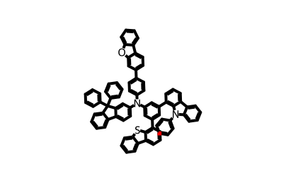 c1ccc(-n2c3ccccc3c3cccc(-c4cc(-c5cccc6c5sc5ccccc56)cc(N(c5ccc(-c6ccc7c(c6)oc6ccccc67)cc5)c5ccc6c(c5)C(c5ccccc5)(c5ccccc5)c5ccccc5-6)c4)c32)cc1